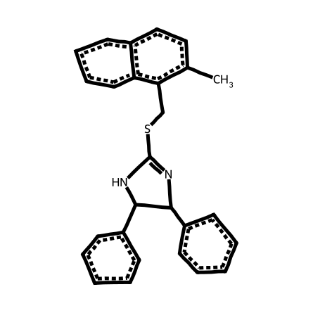 Cc1ccc2ccccc2c1CSC1=NC(c2ccccc2)C(c2ccccc2)N1